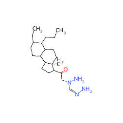 CCCC1C(CC)CCC2C1CCC1(C)C(C(=O)CN(N)/C=N\N)CCC21